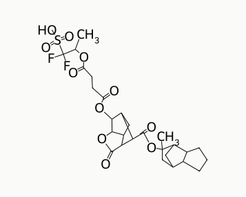 CC(OC(=O)CCC(=O)OC1C2CC3C1OC(=O)C3C2C(=O)OC1(C)CC2CC1C1CCCC21)C(F)(F)S(=O)(=O)O